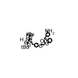 CC(C)(C)OC(=O)N=C(N)N(CCc1ccc(OCCC2Oc3ccccc3N(Cc3cccc(N)c3)C2=O)cc1)C(=O)OC(C)(C)C